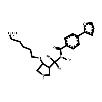 [2H]C([2H])(C1CNCC1OCCCCCC(=O)O)N(C(=O)c1ccc(-c2ccco2)cc1)C(C)C